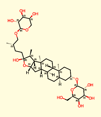 C[C@@H](CC[C@@]1(O)O[C@H]2C[C@H]3[C@@H]4CC[C@@H]5C[C@@H](O[C@@H]6O[C@H](CO)[C@H](O)[C@H](O)[C@H]6O)CC[C@]5(C)[C@H]4CC[C@]3(C)[C@H]2[C@@H]1C)CO[C@@H]1OC[C@H](O)[C@H](O)[C@H]1O